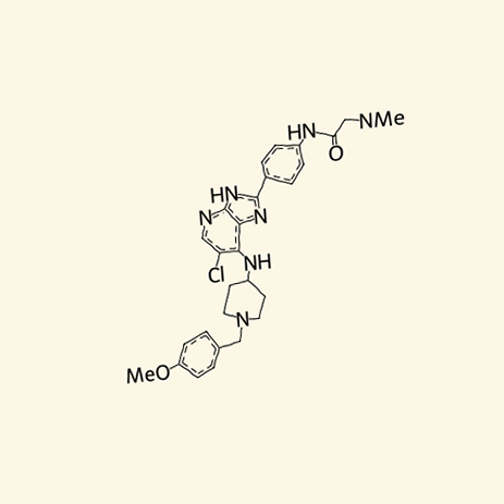 CNCC(=O)Nc1ccc(-c2nc3c(NC4CCN(Cc5ccc(OC)cc5)CC4)c(Cl)cnc3[nH]2)cc1